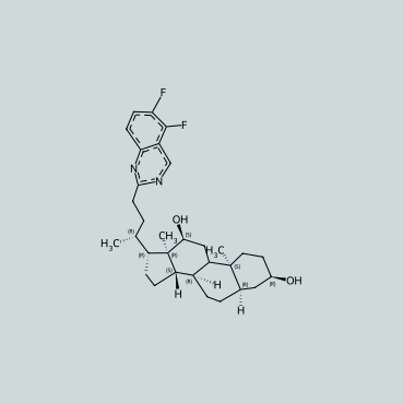 C[C@H](CCc1ncc2c(F)c(F)ccc2n1)[C@H]1CC[C@H]2[C@@H]3CC[C@@H]4C[C@H](O)CC[C@]4(C)C3C[C@H](O)[C@]12C